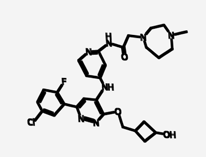 CN1CCCN(CC(=O)Nc2cc(Nc3cc(-c4cc(Cl)ccc4F)nnc3OCC3CC(O)C3)ccn2)CC1